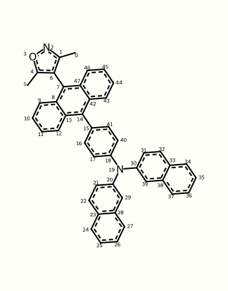 Cc1noc(C)c1-c1c2ccccc2c(-c2ccc(N(c3ccc4ccccc4c3)c3ccc4ccccc4c3)cc2)c2ccccc12